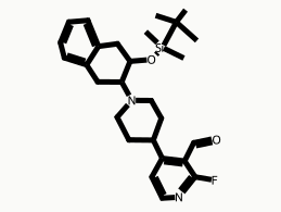 CC(C)(C)[Si](C)(C)OC1Cc2ccccc2CC1N1CCC(c2ccnc(F)c2C=O)CC1